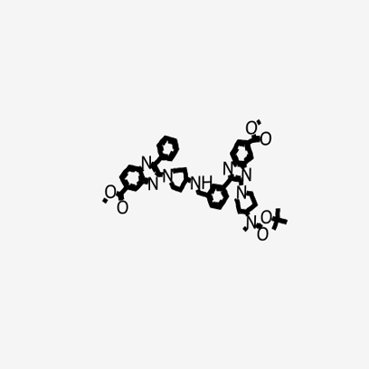 COC(=O)c1ccc2nc(-c3ccccc3)c(N3CCC(NCc4cccc(-c5nc6ccc(C(=O)OC)cc6nc5N5CCC(N(C)C(=O)OC(C)(C)C)CC5)c4)CC3)nc2c1